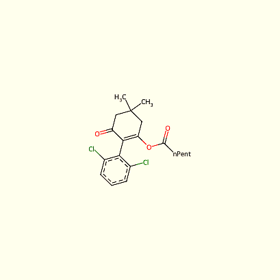 CCCCCC(=O)OC1=C(c2c(Cl)cccc2Cl)C(=O)CC(C)(C)C1